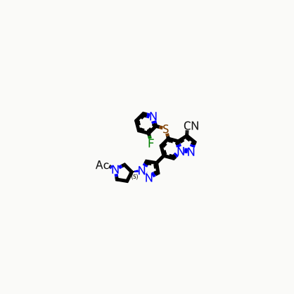 CC(=O)N1CC[C@H](n2cc(-c3cc(Sc4ncccc4F)c4c(C#N)cnn4c3)cn2)C1